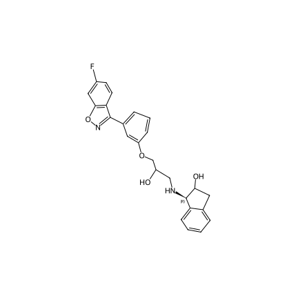 OC(CN[C@@H]1c2ccccc2CC1O)COc1cccc(-c2noc3cc(F)ccc23)c1